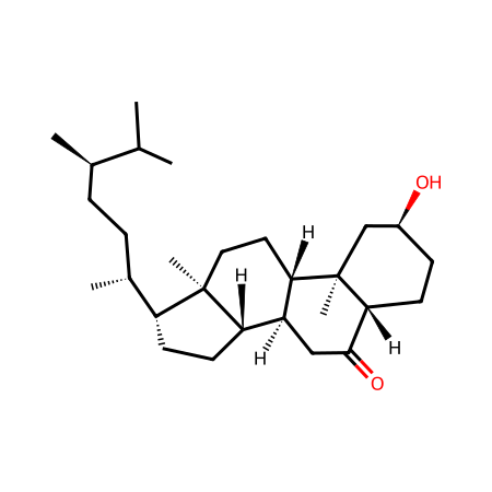 CC(C)[C@H](C)CC[C@@H](C)[C@H]1CC[C@H]2[C@@H]3CC(=O)[C@H]4CC[C@H](O)C[C@]4(C)[C@H]3CC[C@]12C